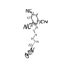 N#Cc1cc(C#N)c(CCCCCCN=C=O)c(C#N)c1